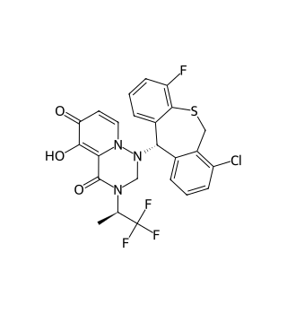 C[C@@H](N1CN([C@H]2c3cccc(Cl)c3CSc3c(F)cccc32)n2ccc(=O)c(O)c2C1=O)C(F)(F)F